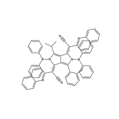 Cc1ccccc1-c1c2/c(=C(\C#N)c3ccc4ccccc4n3)n(B(c3ccccc3)c3ccccc3)c(C(C)C)c2/c(=C(\C#N)c2ccc3ccccc3n2)n1B(c1ccccc1)c1ccccc1